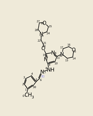 Cc1cccc(/C=N/Nc2cc(N3CCOCC3)nc(OCCN3CCOCC3)n2)c1